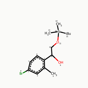 Cc1cc(Br)ccc1C(O)CO[Si](C)(C)C(C)(C)C